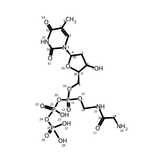 Cc1cn([C@H]2CC(O)[C@@H](COP(=O)(OCNC(=O)CN)OP(=O)(O)OP(=O)(O)O)O2)c(=O)[nH]c1=O